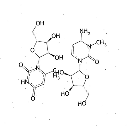 CN1C(=O)N([C@@H]2O[C@H](CO)[C@@H](O)[C@H]2O)C=CC1N.Cc1cc(=O)[nH]c(=O)n1[C@@H]1O[C@H](CO)[C@@H](O)[C@H]1O